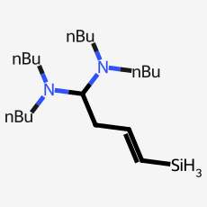 CCCCN(CCCC)C(CC=C[SiH3])N(CCCC)CCCC